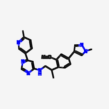 COc1cc(-c2cnn(C)c2)ccc1C(C)CNc1cc(-c2ccc(C)nc2)ncn1